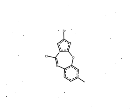 Cc1ccc2c(c1)Oc1sc(Br)cc1C(Cl)=N2